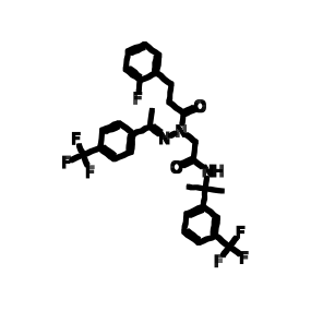 C/C(=N\N(CC(=O)NC(C)(C)c1cccc(C(F)(F)F)c1)C(=O)CCc1ccccc1F)c1ccc(C(F)(F)F)cc1